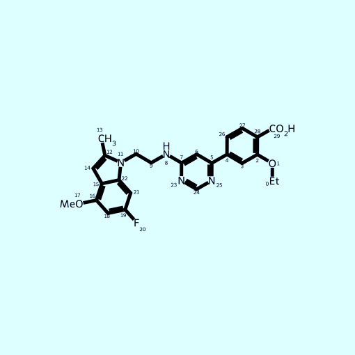 CCOc1cc(-c2cc(NCCn3c(C)cc4c(OC)cc(F)cc43)ncn2)ccc1C(=O)O